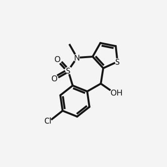 CN1c2ccsc2C(O)c2ccc(Cl)cc2S1(=O)=O